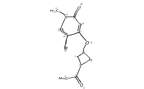 COC(=O)C1CC(Oc2cc(=O)n(C)cc2Br)C1